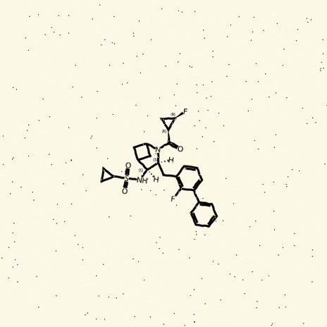 O=C([C@H]1C[C@H]1F)N1C2CC(C2)[C@H](NS(=O)(=O)C2CC2)[C@@H]1Cc1cccc(-c2ccccc2)c1F